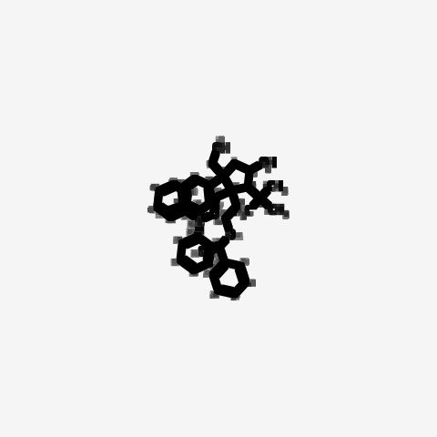 CC(C)(C)C1C(O)CC(CO)(c2ccc(F)cc2)C1(CCOC(=O)c1ccccc1)CO[SiH](c1ccccc1)c1ccccc1